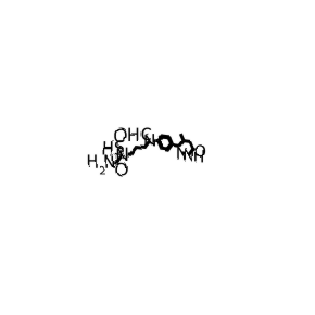 CC1CC(=O)NN=C1c1ccc(N(C=O)CCCN(S)C(N)=O)cc1